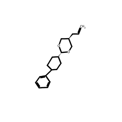 C=CC[C@H]1CO[C@H](C2CCC(c3ccccc3)CC2)OC1